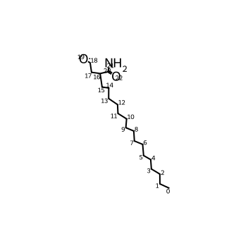 CCCCCCCCCCCCCCCCC(CC[O])C(N)=O